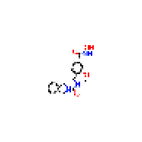 O=C(NO)c1ccc2c(c1)OCCN(C(=O)N1Cc3ccccc3C1)C2